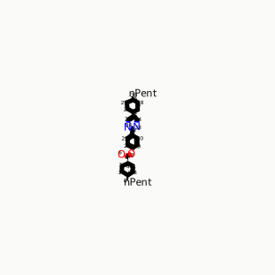 CCCCC[C@H]1CC[C@H](C(=O)Oc2ccc(-c3ncc([C@H]4CC[C@H](CCCCC)CC4)cn3)cc2)CC1